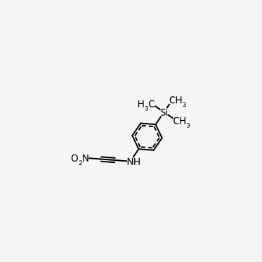 C[Si](C)(C)c1ccc(NC#C[N+](=O)[O-])cc1